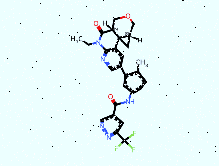 CCN1C(=O)[C@@H]2COC[C@@H]3CC32c2cc(-c3cc(NC(=O)c4cnnc(C(F)(F)F)c4)ccc3C)cnc21